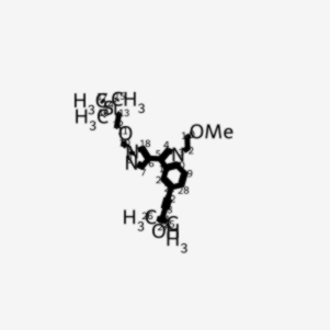 COCCn1cc(-c2cnn(COCC[Si](C)(C)C)c2)c2cc(C#CC(C)(C)O)ccc21